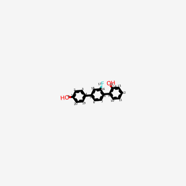 Oc1ccc(-c2ccc(-c3ccccc3O)c(F)c2)cc1